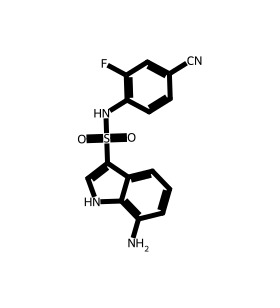 N#Cc1ccc(NS(=O)(=O)c2c[nH]c3c(N)cccc23)c(F)c1